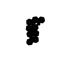 c1ccc([Si](c2ccccc2)(c2cccc(-n3c4ccccc4c4ccccc43)c2)c2cccc(-n3c4ccccc4c4ccc5c6ccccc6sc5c43)c2)cc1